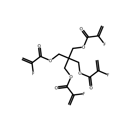 C=C(F)C(=O)OCC(COC(=O)C(=C)F)(COC(=O)C(=C)F)COC(=O)C(=C)F